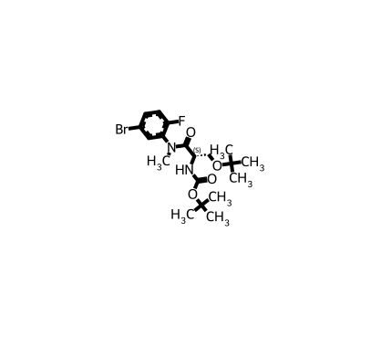 CN(C(=O)[C@H](COC(C)(C)C)NC(=O)OC(C)(C)C)c1cc(Br)ccc1F